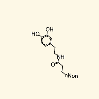 CCCCCCCCCCCC(=O)NCCc1ccc(O)c(O)c1